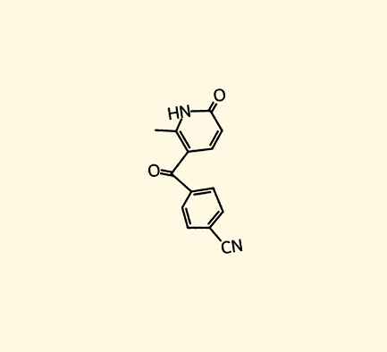 Cc1[nH]c(=O)ccc1C(=O)c1ccc(C#N)cc1